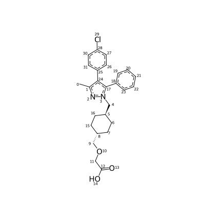 Cc1nn(C[C@H]2CC[C@H](COCC(=O)O)CC2)c(-c2ccccc2)c1-c1ccc(Cl)cc1